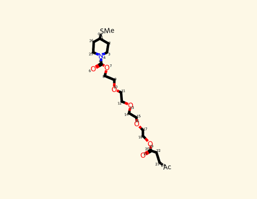 CSC1CCN(C(=O)OCCOCCOCCOCCOC(=O)CCC(C)=O)CC1